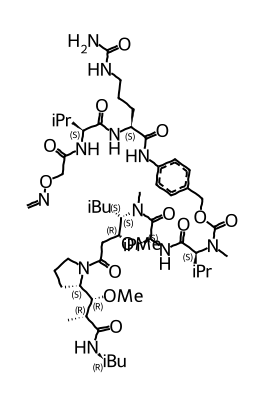 C=NOCC(=O)N[C@H](C(=O)N[C@@H](CCCNC(N)=O)C(=O)Nc1ccc(COC(=O)N(C)[C@H](C(=O)N[C@H](C(=O)N(C)[C@@H]([C@@H](C)CC)[C@@H](CC(=O)N2CCC[C@H]2[C@H](OC)[C@@H](C)C(=O)N[C@H](C)CC)OC)C(C)C)C(C)C)cc1)C(C)C